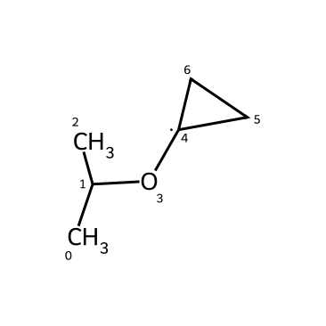 CC(C)O[C]1CC1